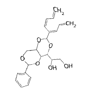 C=C/C=C\C(=C/C=C)C1OC2COC(c3ccccc3)OC2C(C(O)CO)O1